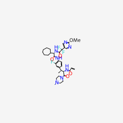 C=CC(=O)N[C@@H](C(=O)N1CCN(C)CC1)[C@@H](C)c1ccc(NC(=O)[C@@H](NC(=O)C(F)(F)c2cnc(OC)nc2)C2CCCCCC2)c(F)c1